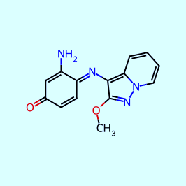 COc1nn2ccccc2c1/N=C1\C=CC(=O)C=C1N